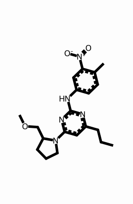 CCCc1cc(N2CCCC2COC)nc(Nc2ccc(C)c([N+](=O)[O-])c2)n1